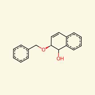 OC1c2ccccc2C=C[C@@H]1OCc1ccccc1